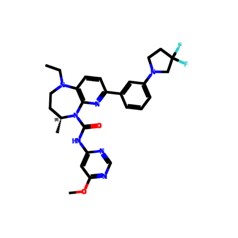 CCN1CC[C@@H](C)N(C(=O)Nc2cc(OC)ncn2)c2nc(-c3cccc(N4CCC(F)(F)C4)c3)ccc21